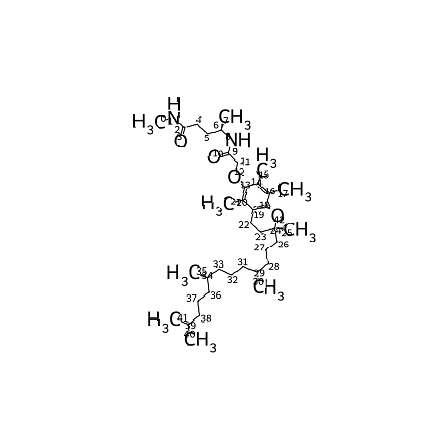 CNC(=O)CC[C@@H](C)NC(=O)COc1c(C)c(C)c2c(c1C)CC[C@@](C)(CCC[C@H](C)CCC[C@H](C)CCCC(C)C)O2